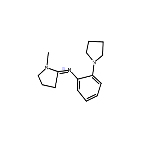 CN1CCC/C1=N\c1ccccc1N1CCCC1